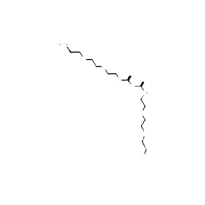 NCCOCCOCCNC(=O)OC(=O)NCCOCCOCCN